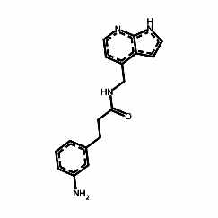 Nc1cccc(CCC(=O)NCc2ccnc3[nH]ccc23)c1